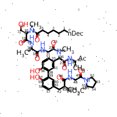 CCCCCCCCCCCCCCCC(=O)N(C)[C@H](CO)C(=O)N[C@H](C)C(=O)NCC(=O)N(C)[C@H](C(=O)N[C@@H](C)C(C)=O)c1ccc(O)c(-c2cc(C[C@H](C)C(=O)NCC(=O)N3CCC[C@@H]3C(=O)O)ccc2O)c1